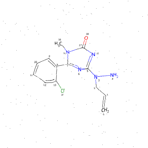 C=CCN(N)c1nc(-c2ccccc2Cl)n(C)c(=O)n1